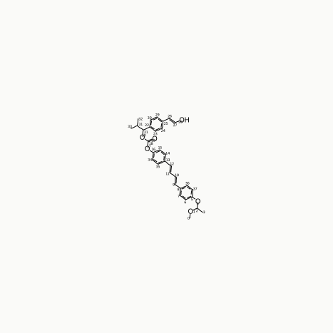 COC(C)Oc1ccc(C=CC=Cc2ccc(OC(=O)OC(c3ccc(C=CO)cc3)C(C)C)cc2)cc1